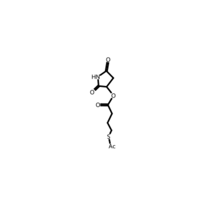 CC(=O)SCCCC(=O)OC1CC(=O)NC1=O